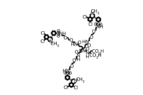 CN1Cc2c(Cl)cc(Cl)cc2[C@H](c2cccc(S(=O)(=O)NCCOCCOCCNC(=O)CCC(CCC(=O)NCCOCCOCCNS(=O)(=O)c3cccc([C@@H]4CN(C)Cc5c(Cl)cc(Cl)cc54)c3)(CCC(=O)NCCOCCOCCNS(=O)(=O)c3cccc([C@@H]4CN(C)Cc5c(Cl)cc(Cl)cc54)c3)NC(=O)N[C@@H](CC(=O)O)C(=O)O)c2)C1